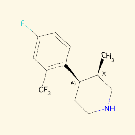 C[C@H]1CNCC[C@H]1c1ccc(F)cc1C(F)(F)F